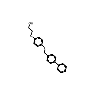 OCCOc1ccc(OCc2ccc(-c3ccccc3)cc2)cc1